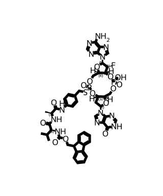 CC(C)[C@H](NC(=O)OCC1c2ccccc2-c2ccccc21)C(=O)N[C@@H](C)C(=O)Nc1ccc(CSP2(=O)OC[C@H]3O[C@@H](n4cnc5c(N)ncnc54)[C@H](F)[C@@H]3OP(=O)(O)OC[C@H]3O[C@@H](n4cnc5c(=O)[nH]cnc54)C[C@@H]3O2)cc1